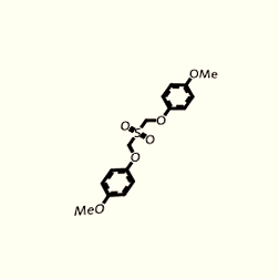 COc1ccc(OCS(=O)(=O)COc2ccc(OC)cc2)cc1